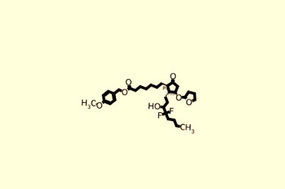 CCCCC(F)(F)C(O)CC[C@H]1[C@H](OC2CCCO2)CC(=O)[C@@H]1CCCCCCC(=O)OCc1ccc(OC)cc1